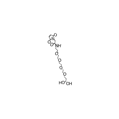 O=C(CN1C(=O)C=CC1=O)NCCOCCOCCOCCOCCC(O)O